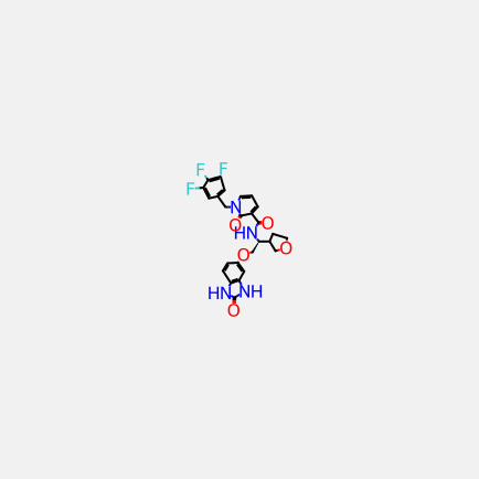 O=C(N[C@H](COc1ccc2[nH]c(=O)[nH]c2c1)C1CCOC1)c1cccn(Cc2cc(F)c(F)c(F)c2)c1=O